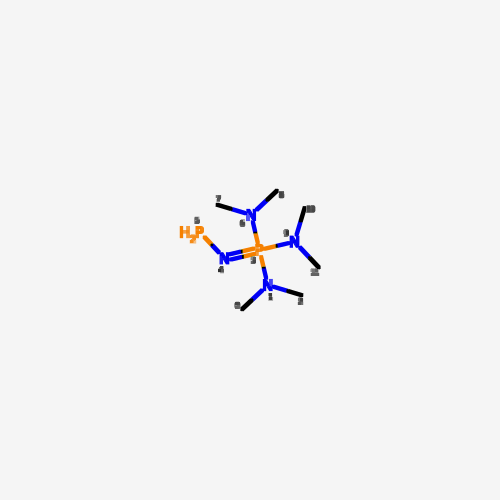 CN(C)P(=NP)(N(C)C)N(C)C